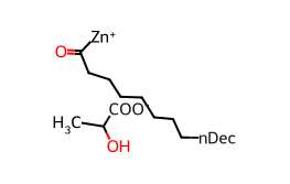 CC(O)C(=O)[O-].CCCCCCCCCCCCCCCCC[C](=O)[Zn+]